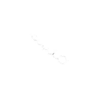 CCCCOCCOCCCC(=O)OC1CCCCC1